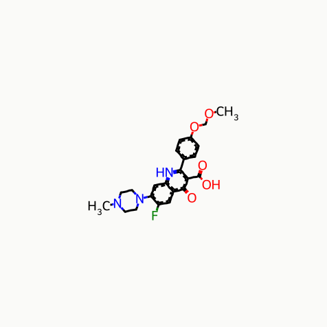 COCOc1ccc(-c2[nH]c3cc(N4CCN(C)CC4)c(F)cc3c(=O)c2C(=O)O)cc1